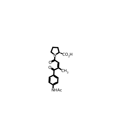 CC(=O)Nc1ccc(C(=O)/C(C)=C\C(=O)N2CCC[C@H]2C(=O)O)cc1